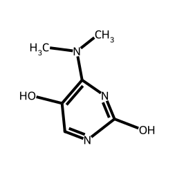 CN(C)c1nc(O)ncc1O